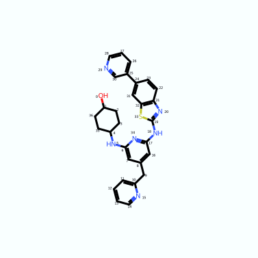 OC1CCC(Nc2cc(Cc3ccccn3)cc(Nc3nc4ccc(-c5cccnc5)cc4s3)n2)CC1